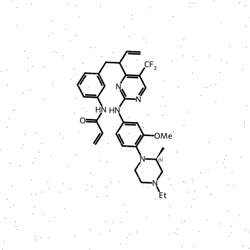 C=CC(=O)Nc1cccc(CC(C=C)c2nc(Nc3ccc(N4CCN(CC)C[C@@H]4C)c(OC)c3)ncc2C(F)(F)F)c1